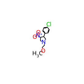 COCCN1CC(c2ccc(Cl)cc2)C([N+](=O)[O-])C1